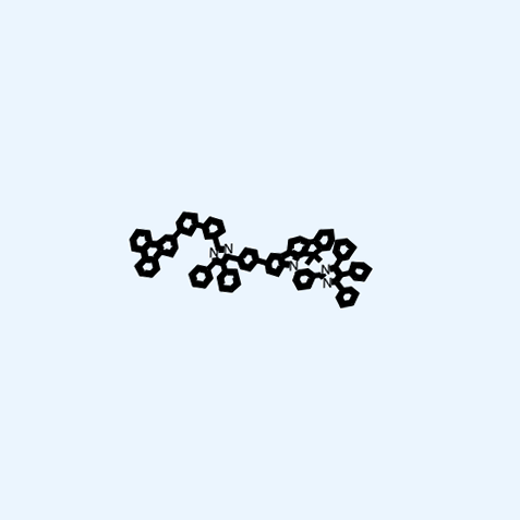 CC1(C)c2ccccc2-c2ccc3c4cc(-c5ccc(-c6nc(-c7cccc(-c8cccc(-c9ccc%10c%11ccccc%11c%11ccccc%11c%10c9)c8)c7)nc(-c7ccccc7)c6-c6ccccc6)cc5)ccc4n(-c4cccc(-c5nc(-c6ccccc6)c(-c6ccccc6)c(-c6ccccc6)n5)c4)c3c21